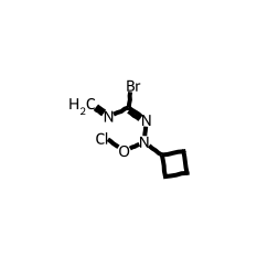 C=N/C(Br)=N\N(OCl)C1CCC1